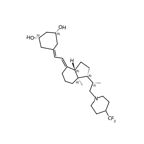 C[C@H](CN1CCC(C(F)(F)F)CC1)[C@H]1CC[C@H]2C(=CC=C3C[C@@H](O)C[C@@H](O)C3)CCC[C@]12C